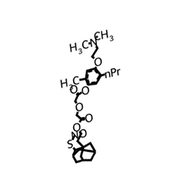 CCCc1cc(OC(=O)COCC(=O)OCCC23CC4CC(CC(C4)C2SN=O)C3)c(C)cc1OCCN(C)C